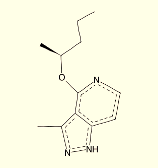 CCC[C@H](C)Oc1nccc2[nH]nc(C)c12